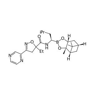 CCC1(C(=O)N[C@@H](CC(C)C)B2O[C@@H]3C[C@@H]4C[C@@H](C4(C)C)[C@]3(C)O2)CC(c2cnccn2)=NO1